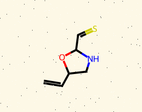 C=CC1CNC(C=S)O1